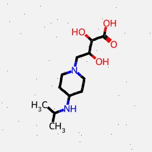 CC(C)NC1CCN(CC(O)C(O)C(=O)O)CC1